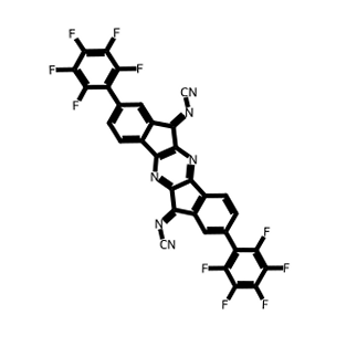 N#C/N=c1\c2cc(-c3c(F)c(F)c(F)c(F)c3F)ccc2c2nc3/c(=N/C#N)c4cc(-c5c(F)c(F)c(F)c(F)c5F)ccc4c3nc12